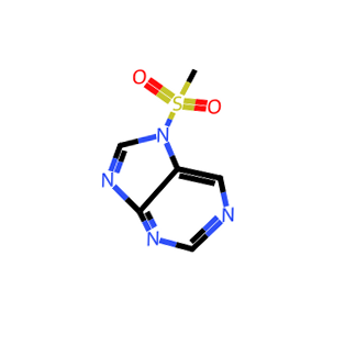 CS(=O)(=O)n1cnc2ncncc21